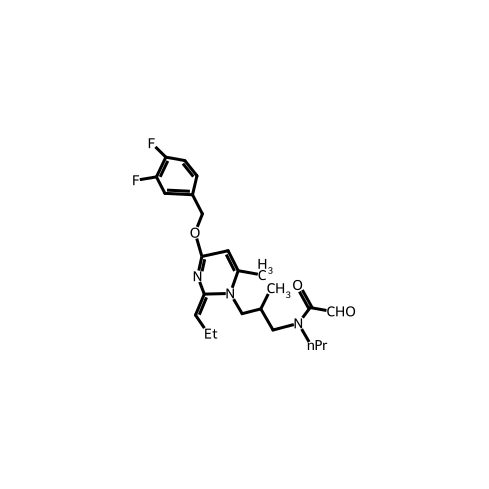 CC/C=C1/N=C(OCc2ccc(F)c(F)c2)C=C(C)N1CC(C)CN(CCC)C(=O)C=O